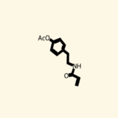 C=CC(=O)NCCc1ccc(OC(C)=O)cc1